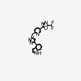 FC(F)c1nnc(-c2ccc(Cn3cc(-c4cccc5[nH]ccc45)nn3)nc2)o1